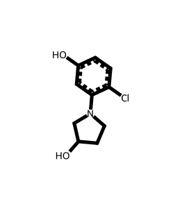 Oc1ccc(Cl)c(N2CCC(O)C2)c1